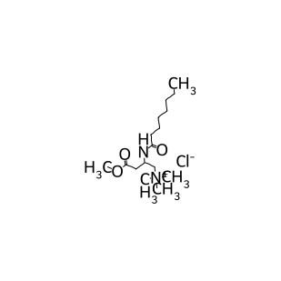 CCCCCCCC(=O)NC(CC(=O)OC)C[N+](C)(C)C.[Cl-]